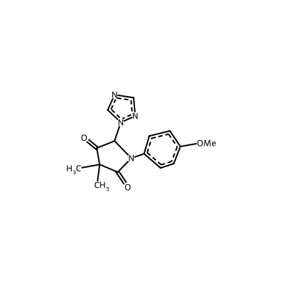 COc1ccc(N2C(=O)C(C)(C)C(=O)C2n2cncn2)cc1